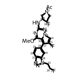 COc1nc(N[C@@H]2CN(C(C)=O)C[C@@H]2F)nn2cc(F)c(-c3ccc4nnn(CCF)c4c3)c12